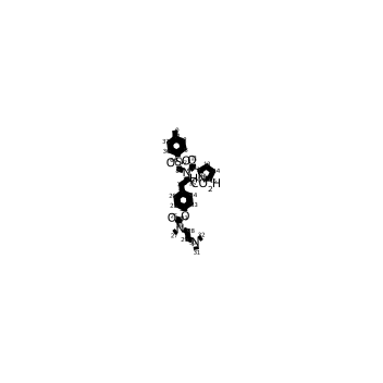 Cc1ccc(S(=O)(=O)CN(C(=O)[C@@H]2CCCN2)[C@@H](Cc2ccc(OC(=O)N(C)CCN(C)C)cc2)C(=O)O)cc1